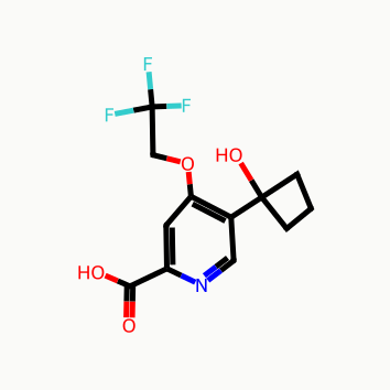 O=C(O)c1cc(OCC(F)(F)F)c(C2(O)CCC2)cn1